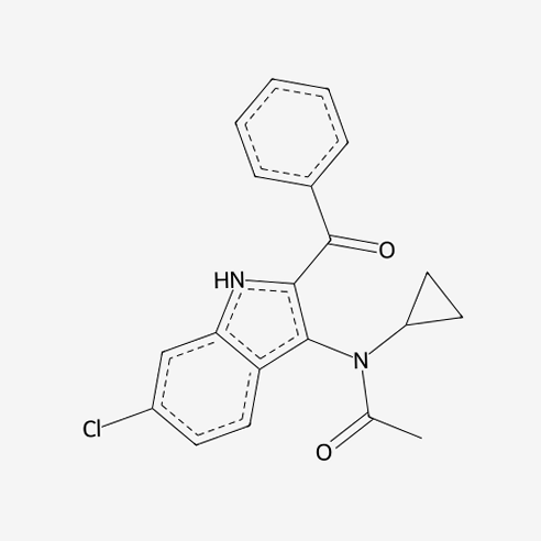 CC(=O)N(c1c(C(=O)c2ccccc2)[nH]c2cc(Cl)ccc12)C1CC1